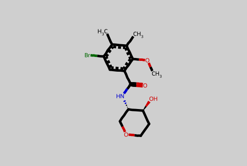 COc1c(C(=O)N[C@H]2COCC[C@@H]2O)cc(Br)c(C)c1C